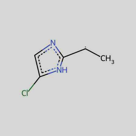 C[CH]c1ncc(Cl)[nH]1